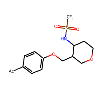 CC(=O)c1ccc(OCC2COCCC2NS(=O)(=O)C(F)(F)F)cc1